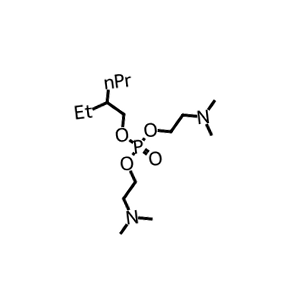 CCCC(CC)COP(=O)(OCCN(C)C)OCCN(C)C